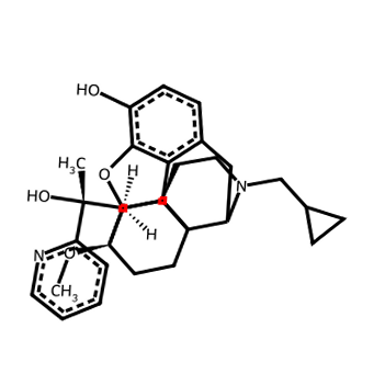 CO[C@]12CCC3(C[C@@H]1[C@@](C)(O)c1ccccn1)C1Cc4ccc(O)c5c4[C@@]3(CCN1CC1CC1)[C@@H]2O5